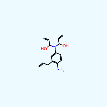 C=CCc1cc(N(C(O)C=C)C(O)C=C)ccc1N